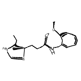 COc1ccccc1NC(=O)CCc1nc[nH]c1C